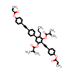 C=CC(=O)Oc1ccc(C#Cc2ccc(-c3cc(OC(=O)C(=C)C)c(C#Cc4ccc(OC(=O)C=C)cc4)c(OC(=O)C(=C)C)c3CCC)cc2)cc1